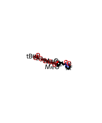 COc1cc(/C=C/C(=O)N2CCC=CC2=O)cc(OC)c1OCCOCCOCCOCC(=O)OC(C)(C)C